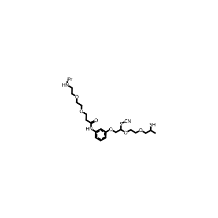 CC(S)COCCOC(COc1cccc(NC(=O)CCOCCOCCNC(C)C)c1)SC#N